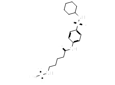 CC(C)(C)S(=O)(=O)NCCCCC(=O)Nc1ccc(S(=O)(=O)NC2CCCCC2)cc1